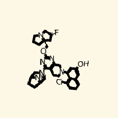 Oc1cc(N2CCc3c(nc(OC[C@@]45CCCN4C[C@H](F)C5)nc3N3CC4CCC(C3)N4)C2)c2c(Cl)cccc2c1